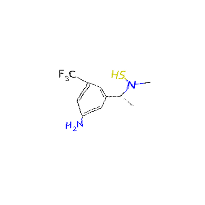 C[C@H](c1cc(N)cc(C(F)(F)F)c1)N(C)S